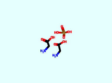 NCC(=O)O.NCC(=O)O.O=S(=O)(O)O